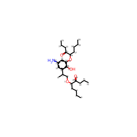 CCCCC(OCC(C)c1cc(N)cc(OC(CCCC)C(=O)CCC)c1O)C(=O)CCC